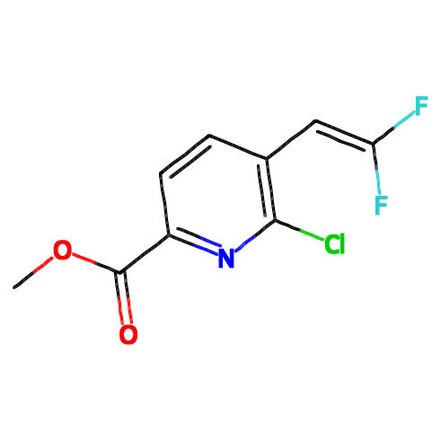 COC(=O)c1ccc(C=C(F)F)c(Cl)n1